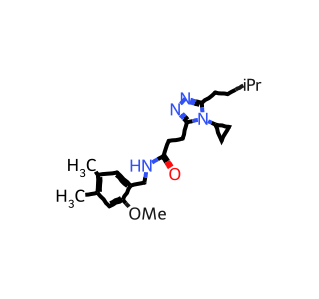 COc1cc(C)c(C)cc1CNC(=O)CCc1nnc(CCC(C)C)n1C1CC1